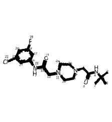 CC(C)(C)NC(=O)CN1CCN(CC(=O)Nc2cc(F)cc(Cl)c2)CC1